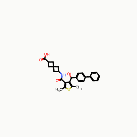 Cc1sc(C)c(C(O)c2ccc(-c3ccccc3)cc2)c1C(=O)NC1CC2(C1)CC(C(=O)O)C2